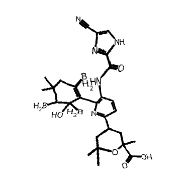 BC1=C(c2nc(C3CC(C)(C)OC(C)(C(=O)O)C3)ccc2NC(=O)c2nc(C#N)c[nH]2)C(B)(O)C(B)C(C)(C)C1